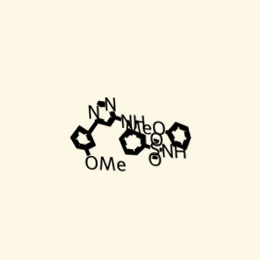 COc1cccc(-c2cc(Nc3cccc(S(=O)(=O)Nc4ccccc4OC)c3)ncn2)c1